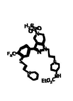 CCOC(=O)NC1CCN(CCCn2nc(-c3ccc(C(F)(F)F)c(SCCN4CCCCC4)c3)c3c2CCN(S(C)(=O)=O)C3)CC1